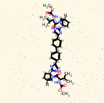 COC(=O)N[C@H](C(=O)N1C[C@@H]2CC[C@@]1(c1nc(-c3ccc(-c4ccc(-c5c[nH]c([C@@]67CC[C@@H](CN6C(=O)[C@@H](NC(=O)OC)C(C)C)C7)n5)cc4)cc3)c[nH]1)C2)C(C)C